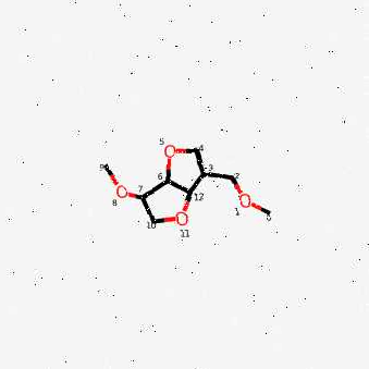 COCC1COC2C(OC)COC12